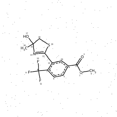 COC(=O)c1ccc(C(F)(F)F)c(C2=NC(C)(O)CS2)c1